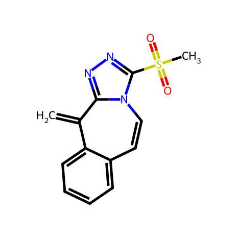 C=C1c2ccccc2C=Cn2c1nnc2S(C)(=O)=O